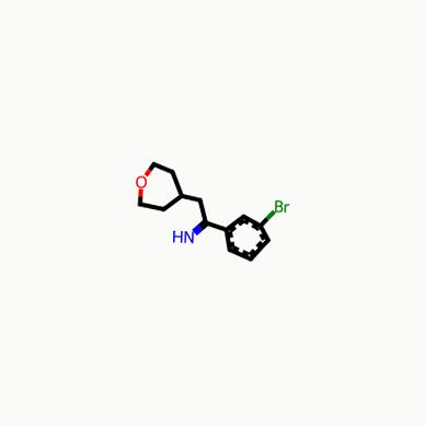 N=C(CC1CCOCC1)c1cccc(Br)c1